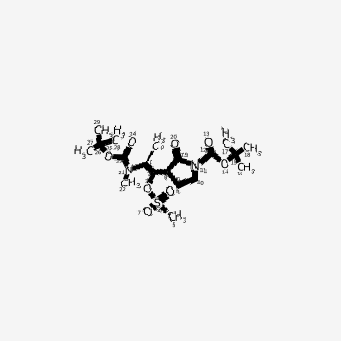 C[C@@H](C(OS(C)(=O)=O)C1CCN(C(=O)OC(C)(C)C)C1=O)N(C)C(=O)OC(C)(C)C